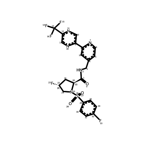 O=C(NCc1ccnc(-c2cnc(C(F)(F)F)cn2)c1)[C@@H]1C[C@@H](F)CN1S(=O)(=O)c1ccc(F)cc1